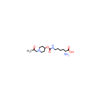 CC(=O)CN1CCC(OC(=O)NCCCC[C@@H](N)C(=O)O)CC1